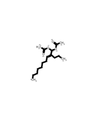 CCCCCCC/C=C(\CCC)C(OC(C)=O)OC(C)=O